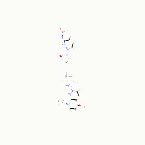 O=C1COc2ccc(N3C[C@H](CNC4CCN(c5nc6c(cc5F)c(=O)c(C(=O)O)cn6C5CC5)CC4)OC3=O)nc2N1